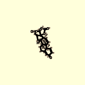 CCC(=O)O[C@]1(C(=O)C=O)C(C)C[C@H]2[C@@H]3CCC4=CC(=O)C=C[C@]4(C)[C@@]3(F)C=C[C@@]21C